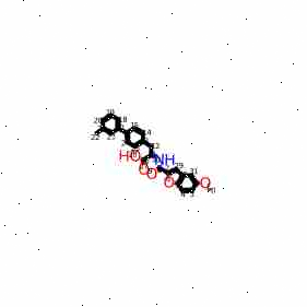 COc1ccc2oc(C(=O)NC(Cc3ccc(-c4cccc(C)c4)cc3)C(=O)O)cc2c1